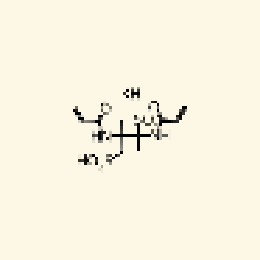 C=CC(=O)NC(C)(CS(=O)(=O)O)C(C)(NC(=O)C=C)S(=O)(=O)O.[KH]